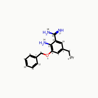 CC(C)Cc1cc(OCc2ccccc2)c(N)c(C(=N)N)c1